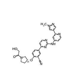 Cn1cc(-c2cc(Nc3nccc(-c4ccc(O[C@@H]5CCN(C(=O)CO)C5)c(C#N)c4)n3)ccn2)cn1